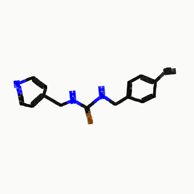 CC(C)(C)c1ccc(CNC(=S)NCc2ccncc2)cc1